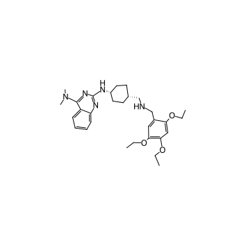 CCOc1cc(OCC)c(OCC)cc1CNC[C@H]1CC[C@@H](Nc2nc(N(C)C)c3ccccc3n2)CC1